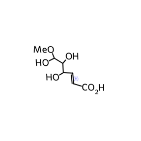 COC(O)C(O)C(O)/C=C/C(=O)O